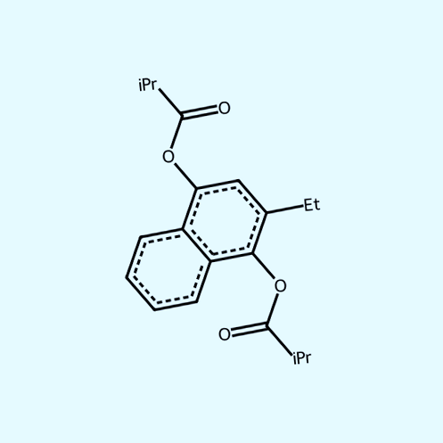 CCc1cc(OC(=O)C(C)C)c2ccccc2c1OC(=O)C(C)C